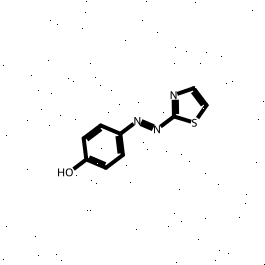 Oc1ccc(/N=N/c2nccs2)cc1